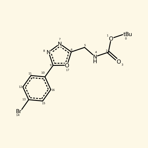 CC(C)(C)OC(=O)NCc1nnc(-c2ccc(Br)cc2)o1